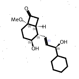 CO[C@@]12CC[C@H](O)[C@@H](/C=C/[C@@H](O)C3CCCCC3)[C@@H]1CC2=O